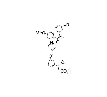 COc1ccc(C(=O)N(C)c2cccc(C#N)c2)c(N2CCC(COc3cccc(C(CC(=O)O)C4CC4)c3)CC2)c1